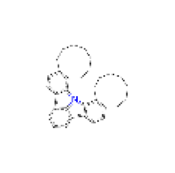 c1cc2c3ccc4c(c3n3c5c6c(ccc5c(c1)c23)CCCCCCC6)CCCCCCC4